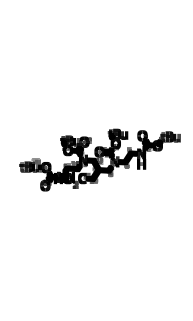 CC(C)(C)OC(=O)NCCN(CC(CC(=O)O)CN(CCNC(=O)OC(C)(C)C)C(=O)OC(C)(C)C)C(=O)OC(C)(C)C